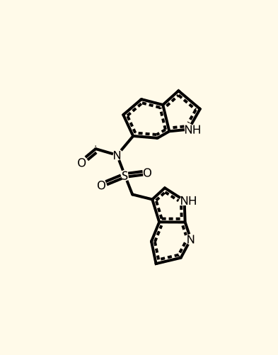 O=[C]N(c1ccc2cc[nH]c2c1)S(=O)(=O)Cc1c[nH]c2ncccc12